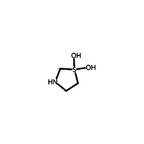 OS1(O)[CH]NCC1